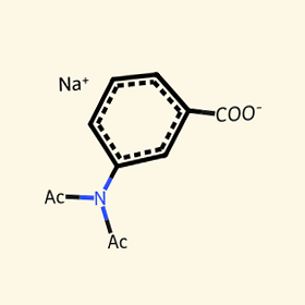 CC(=O)N(C(C)=O)c1cccc(C(=O)[O-])c1.[Na+]